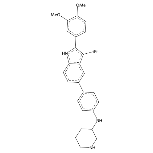 COc1ccc(-c2[nH]c3ccc(-c4ccc(NC5CCCNC5)cc4)cc3c2C(C)C)cc1OC